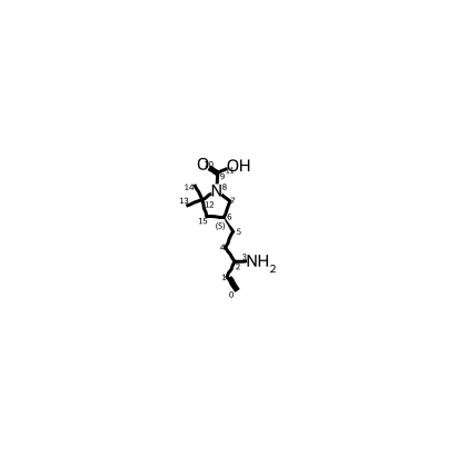 C=CC(N)CC[C@@H]1CN(C(=O)O)C(C)(C)C1